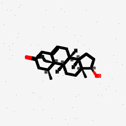 CC(=O)OC[C@]12C(=CC[C@H]3[C@@H]4CC[C@H](O)[C@@]4(C)CC[C@@H]31)CC(=O)C[C@H]2C